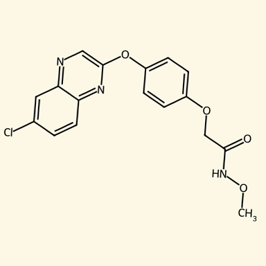 CONC(=O)COc1ccc(Oc2cnc3cc(Cl)ccc3n2)cc1